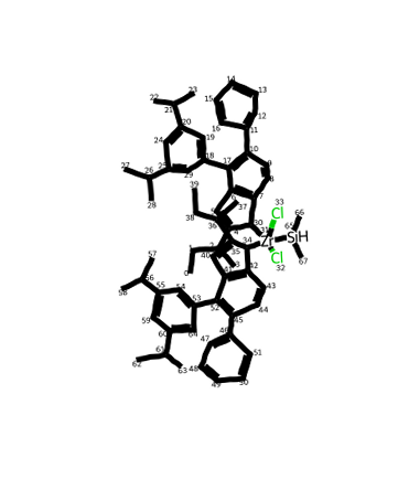 CCC(C)C1=Cc2c(ccc(-c3ccccc3)c2-c2cc(C(C)C)cc(C(C)C)c2)[CH]1[Zr]([Cl])([Cl])([CH]1C(C(C)CC)=Cc2c1ccc(-c1ccccc1)c2-c1cc(C(C)C)cc(C(C)C)c1)[SiH](C)C